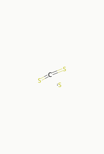 S=C=S.[S]